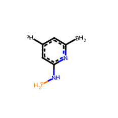 [2H]c1cc(B)nc(NP)c1